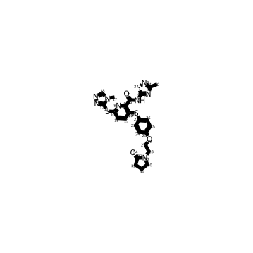 Cc1nsc(NC(=O)c2nc(Sc3nncn3C)ccc2Sc2ccc(OCCN3CCCC3=O)cc2)n1